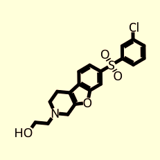 O=S(=O)(c1cccc(Cl)c1)c1ccc2c3c(oc2c1)CN(CCO)CC3